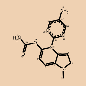 CN1CC=C2C1=CC=C(OC(N)=O)N2c1ncc(N)cn1